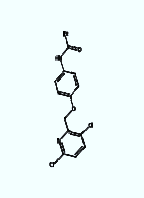 CCC(=O)Nc1ccc(OCc2nc(Cl)ccc2Cl)cc1